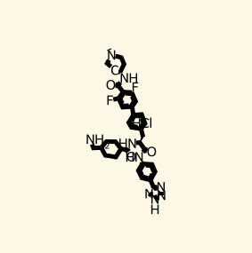 CN1CCC(NC(=O)c2c(F)cc(-c3ccc(C[C@H](NC(=O)C4CCC(CN)CC4)C(=O)Nc4ccc(-c5nn[nH]n5)cc4)cc3)cc2F)CC1.Cl